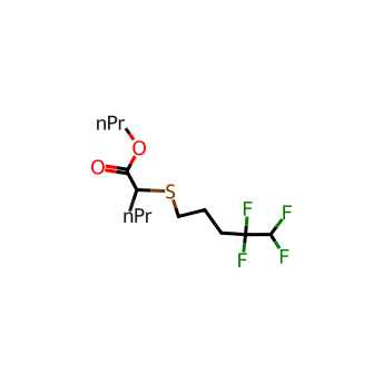 CCCOC(=O)C(CCC)SCCCC(F)(F)C(F)F